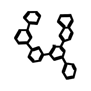 c1ccc(-c2cccc(-c3cccc(-c4cc(-c5ccccc5)cc(-c5ccc6ccccc6c5)n4)c3)c2)cc1